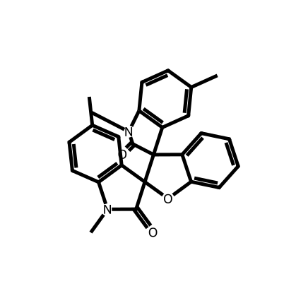 Cc1ccc2c(c1)C1(Oc3ccccc3C13C(=O)N(C)c1ccc(C)cc13)C(=O)N2C